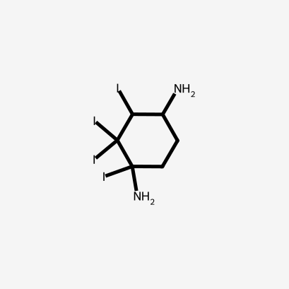 NC1CCC(N)(I)C(I)(I)C1I